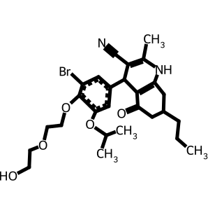 CCCC1CC(=O)C2=C(C1)NC(C)=C(C#N)C2c1cc(Br)c(OCCOCCO)c(OC(C)C)c1